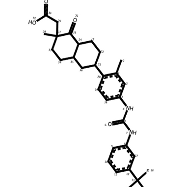 Cc1cc(NC(=O)Nc2cccc(C(F)(F)F)c2)ccc1C1CCC2C(=O)C(C)(CC(=O)O)CCC2C1